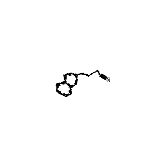 N#CCCCc1ccc2ccccc2c1